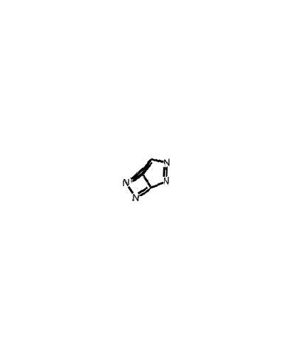 N1=NC2=[N+]3N=C1C23